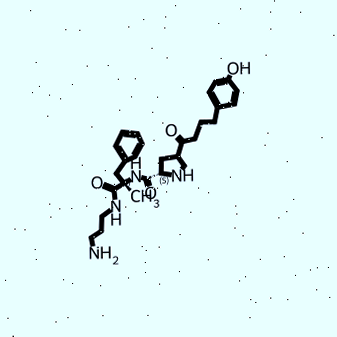 C[C@@](Cc1ccccc1)(NC(=O)[C@@H]1CC(C(=O)CCCc2ccc(O)cc2)CN1)C(=O)NCCCN